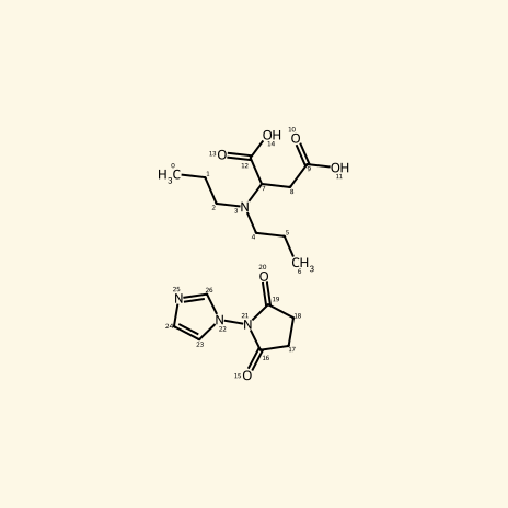 CCCN(CCC)C(CC(=O)O)C(=O)O.O=C1CCC(=O)N1n1ccnc1